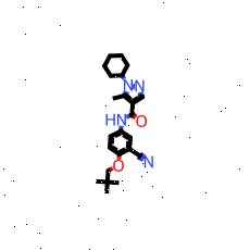 Cc1c(C(=O)Nc2ccc(OCC(C)(C)C)c(C#N)c2)cnn1C1CCCCC1